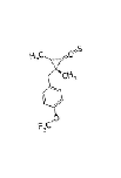 CC1C(=C=S)[C@]1(C)Cc1ccc(OC(F)(F)F)cc1